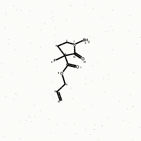 BN1CCC(F)(C(=O)OCC=C)C1=O